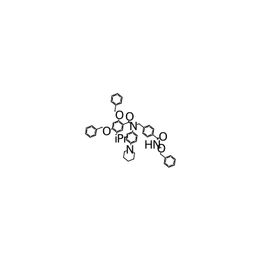 CC(C)c1cc(C(=O)N(Cc2ccc(C(=O)NOCc3ccccc3)cc2)c2ccc(N3CCCCC3)cc2)c(OCc2ccccc2)cc1OCc1ccccc1